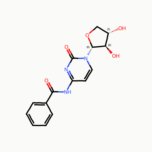 O=C(Nc1ccn([C@@H]2OC[C@H](O)[C@H]2O)c(=O)n1)c1ccccc1